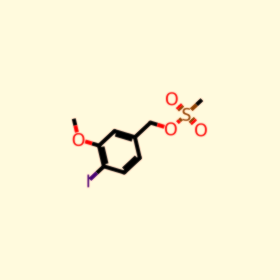 COc1cc(COS(C)(=O)=O)ccc1I